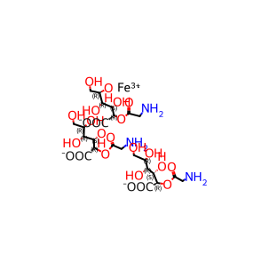 NCC(=O)O[C@@H](C(=O)[O-])[C@@H](O)[C@H](O)[C@H](O)CO.NCC(=O)O[C@@H](C(=O)[O-])[C@@H](O)[C@H](O)[C@H](O)CO.NCC(=O)O[C@@H](C(=O)[O-])[C@@H](O)[C@H](O)[C@H](O)CO.[Fe+3]